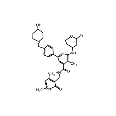 CCC1CC(Nc2cc(-c3ccc(CN4CCC(O)CC4)cc3)cc(C(=O)NCc3c(C)cc(C)[nH]c3=O)c2C)CCO1